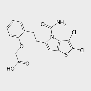 NC(=O)n1c(CCc2ccccc2OCC(=O)O)cc2sc(Cl)c(Cl)c21